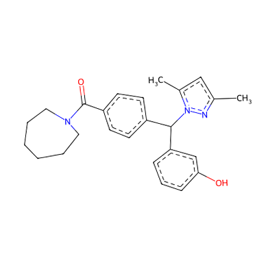 Cc1cc(C)n(C(c2ccc(C(=O)N3CCCCCC3)cc2)c2cccc(O)c2)n1